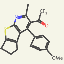 COc1ccc(-c2c(C(=O)C(F)(F)F)c(C)nc3sc4c(c23)CCC4)cc1